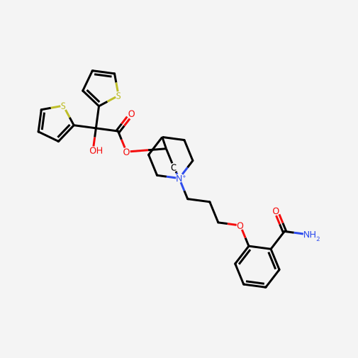 NC(=O)c1ccccc1OCCC[N+]12CCC(CC1)C(OC(=O)C(O)(c1cccs1)c1cccs1)C2